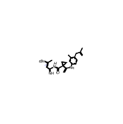 C=C(C)Cc1ccc(NC(=C)C2(C(=O)NC(=N)/C=C(\C)C(C)(C)C)CC2)cc1C